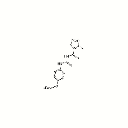 CCCCCOc1ccc(NC(=S)NC(=O)c2cnoc2C)cn1